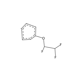 FC(F)C(F)Oc1cc[c]cc1